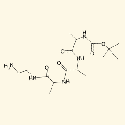 CC(NC(=O)OC(C)(C)C)C(=O)NC(C)C(=O)NC(C)C(=O)NCCN